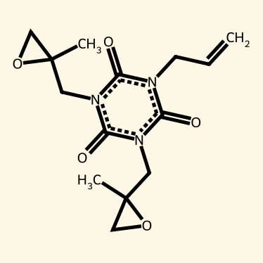 C=CCn1c(=O)n(CC2(C)CO2)c(=O)n(CC2(C)CO2)c1=O